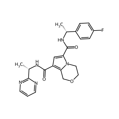 C[C@H](NC(=O)c1cc(C(=O)N[C@H](C)c2ccc(F)cc2)n2c1COCC2)c1ncccn1